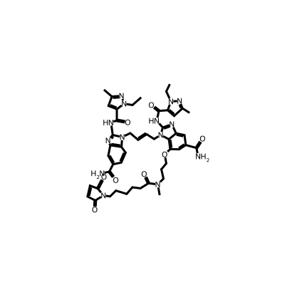 CCn1nc(C)cc1C(=O)Nc1nc2cc(C(N)=O)ccc2n1C/C=C/Cn1c(NC(=O)c2cc(C)nn2CC)nc2cc(C(N)=O)cc(OCCCN(C)C(=O)CCCCCN3C(=O)C=CC3=O)c21